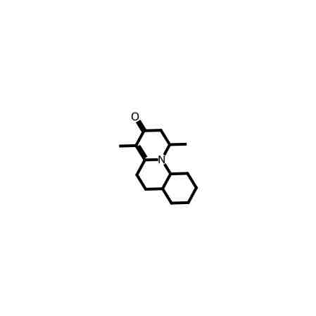 CC1=C2CCC3CCCCC3N2C(C)CC1=O